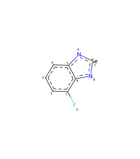 Fc1cccc2n[se]nc12